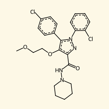 COCCOc1c(C(=O)NN2CCCCC2)nn(-c2ccccc2Cl)c1-c1ccc(Cl)cc1